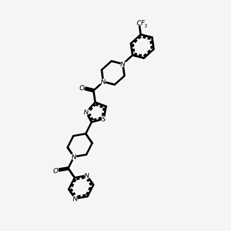 O=C(c1cnccn1)N1CCC(c2nc(C(=O)N3CCN(c4cccc(C(F)(F)F)c4)CC3)cs2)CC1